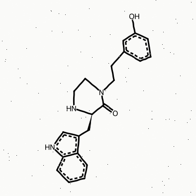 O=C1[C@@H](Cc2c[nH]c3ccccc23)NCCN1CCc1cccc(O)c1